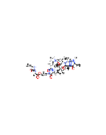 CC[C@H](C)[C@@H]([C@@H](CC(=O)N1CCC[C@H]1[C@H](OC)[C@@H](C)C(=O)N[C@@H](Cc1ccccc1)C(=O)NCCCOC(=O)[C@H](C)NC(=O)CC(C)(C)C)OC)N(C)C(=O)[C@@H](NC(=O)[C@H](C(C)C)N(C)C)C(C)C